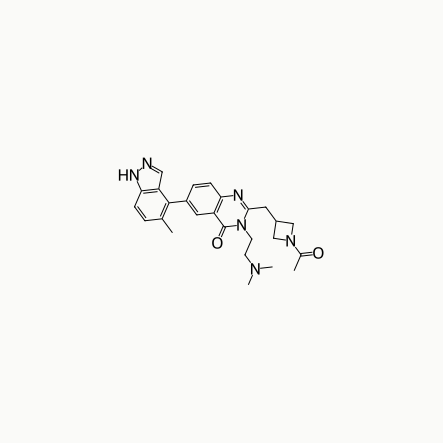 CC(=O)N1CC(Cc2nc3ccc(-c4c(C)ccc5[nH]ncc45)cc3c(=O)n2CCN(C)C)C1